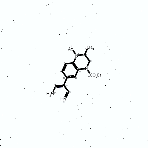 CCOC(=O)N1CC(C)N(C(C)=O)c2ccc(/C(C=N)=C/N)cc21